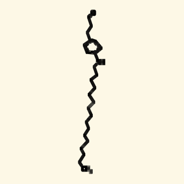 CCCCCCCCCCCCCCCCNc1ccc(CCC=O)cc1